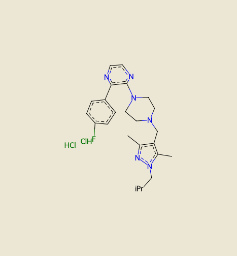 Cc1nn(CC(C)C)c(C)c1CN1CCN(c2nccnc2-c2ccc(F)cc2)CC1.Cl.Cl